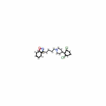 Clc1cccc(Cl)c1C1CCN(CCCCc2noc3ccccc23)CC1